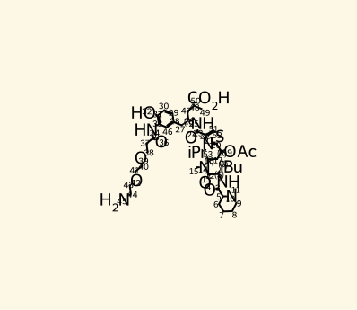 CC[C@H](C)[C@H](NC(=O)C1CCCCN1C)C(=O)N(C)[C@H](C[C@@H](OC(C)=O)c1nc(C(=O)N[C@@H](Cc2ccc(O)c(NC(=O)CCOCCOCCN)c2)CC(C)C(=O)O)cs1)C(C)C